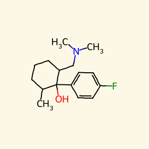 CC1CCCC(CN(C)C)C1(O)c1ccc(F)cc1